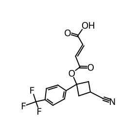 N#CC1CC(OC(=O)/C=C/C(=O)O)(c2ccc(C(F)(F)F)cc2)C1